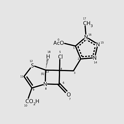 CC(=O)Oc1c(CC2(Cl)C(=O)N3C(C(=O)O)=CS[C@H]32)nnn1C